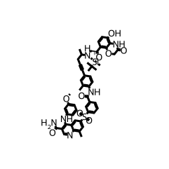 COc1cccc(Nc2c(C(N)=O)cnc3c(C)cc(S(=O)(=O)c4cccc(C(=O)Nc5ccc(C#CCC(C)NC[C@H](O[Si](C)(C)C(C)(C)C)c6ccc(O)c7c6OCC(=O)N7)cc5C)c4)cc23)c1